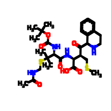 CSC[C@H](C(=O)C1NCCc2ccccc21)[C@H](NC(=O)[C@@H](NC(=O)OC(C)(C)C)C(C)(C)SCNC(C)=O)C(=O)O